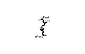 CCCCCC(CCc1cn(CCC(CO)CCC(CCCCC)C(C)=O)nn1)C(C)=O